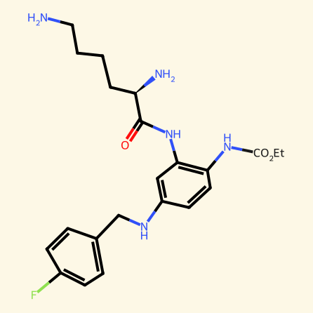 CCOC(=O)Nc1ccc(NCc2ccc(F)cc2)cc1NC(=O)[C@H](N)CCCCN